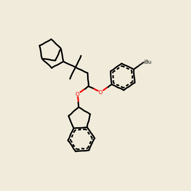 CCC(C)c1ccc(OC(CC(C)(C)C2CC3CCC2C3)OC2Cc3ccccc3C2)cc1